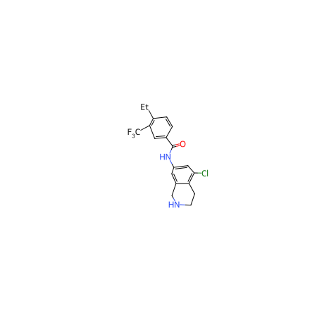 CCc1ccc(C(=O)Nc2cc(Cl)c3c(c2)CNCC3)cc1C(F)(F)F